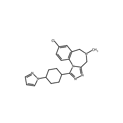 CN1Cc2cc(Cl)ccc2-n2c(nnc2C2CCC(n3cccn3)CC2)C1